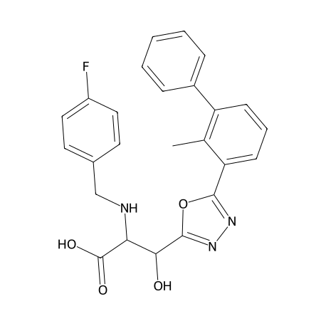 Cc1c(-c2ccccc2)cccc1-c1nnc(C(O)C(NCc2ccc(F)cc2)C(=O)O)o1